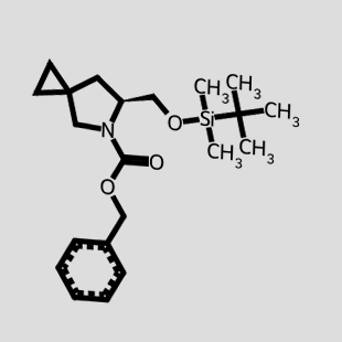 CC(C)(C)[Si](C)(C)OC[C@@H]1CC2(CC2)CN1C(=O)OCc1ccccc1